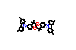 Cc1ccc2c(c1)c1cc(C)ccc1n2-c1ccc2c(c1)C(C)(C)CC1(CC(C)(C)c3cc(-n4c5ccc(C)cc5c5cc(C)ccc54)ccc3O1)O2